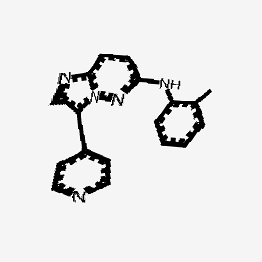 Cc1ccccc1Nc1ccc2ncc(-c3ccncc3)n2n1